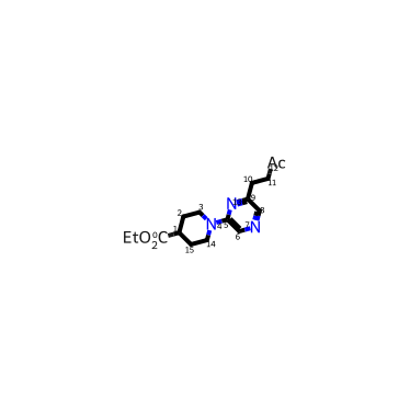 CCOC(=O)C1CCN(c2cncc(CCC(C)=O)n2)CC1